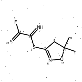 CC1(C)CC(SC(=N)C(F)=S)=NO1